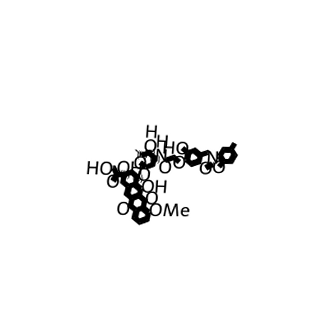 COc1cccc2c1C(=O)c1c(cc3c(c1O)[C@H](OC1C[C@@H](NC(=O)COc4ccc(Cn5c(=O)oc6ccc(C)cc65)cc4O)[C@@H](O)[C@@H](C)O1)C[C@@](O)(C(=O)CO)C3)C2=O